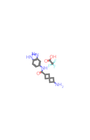 NC1CC2(C1)CC(C(=O)Nc1ccc3[nH]nnc3c1)C2.O=C(O)C(F)(F)F